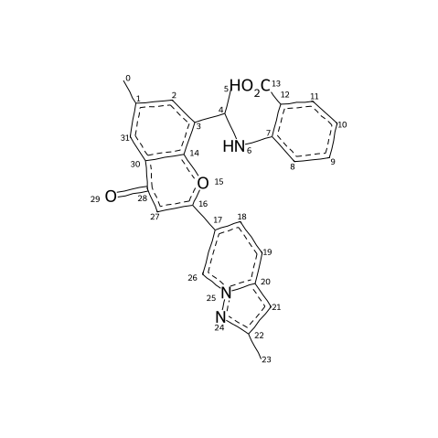 Cc1cc(C(C)Nc2ccccc2C(=O)O)c2oc(-c3ccc4cc(C)nn4c3)cc(=O)c2c1